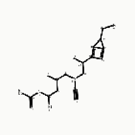 C#CN(CC(C)CC(CC)NC(=C)CC)CC(C)C1=C2C(=C1)C2CC(C)C